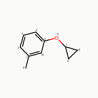 [CH2]c1cccc(OC2CC2)c1